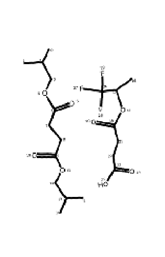 CC(C)COC(=O)CCC(=O)OCC(C)C.CC(OC(=O)CCC(=O)O)C(F)(F)F